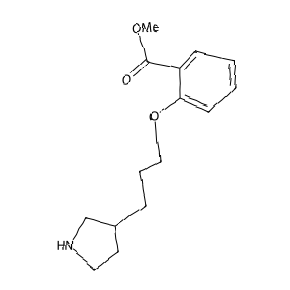 COC(=O)c1ccccc1OCCCC1CCNC1